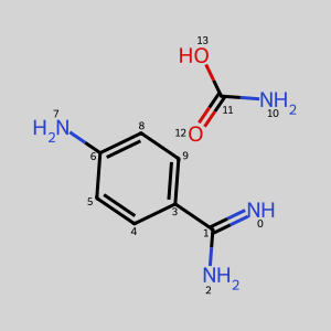 N=C(N)c1ccc(N)cc1.NC(=O)O